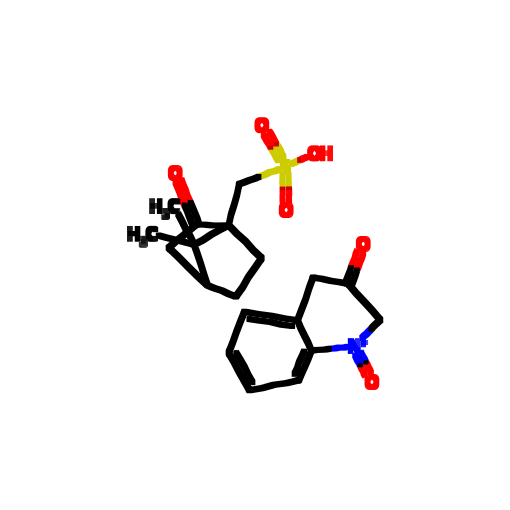 CC1(C)C2CCC1(CS(=O)(=O)O)C(=O)C2.O=C1Cc2ccccc2[N+](=O)C1